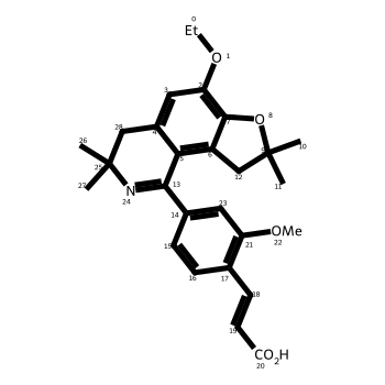 CCOc1cc2c(c3c1OC(C)(C)C3)C(c1ccc(C=CC(=O)O)c(OC)c1)=NC(C)(C)C2